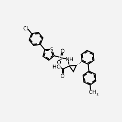 Cc1ccc(-c2ccccc2[C@@H]2C[C@]2(NS(=O)(=O)c2ccc(-c3ccc(Cl)cc3)s2)C(=O)O)cc1